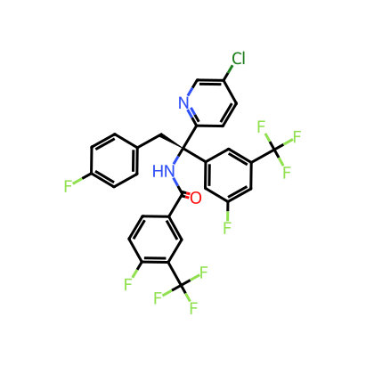 O=C(N[C@@](Cc1ccc(F)cc1)(c1cc(F)cc(C(F)(F)F)c1)c1ccc(Cl)cn1)c1ccc(F)c(C(F)(F)F)c1